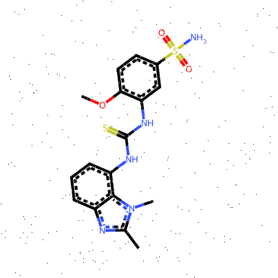 COc1ccc(S(N)(=O)=O)cc1NC(=S)Nc1cccc2nc(C)n(C)c12